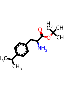 CC(C)c1ccc(CC(N)C(=O)OC(C)(C)C)cc1